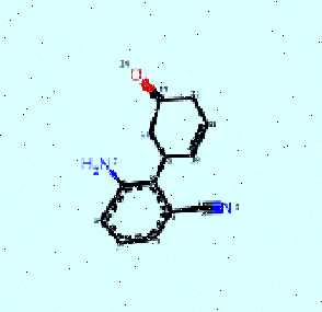 N#Cc1cccc(N)c1C1C=CCC(=O)C1